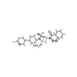 Cc1ccc(-c2ccc(N(C(CCn3nnc4ccccc4c3=O)C(=O)O)S(C)(=O)=O)cc2)cn1